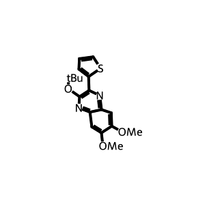 COc1cc2nc(OC(C)(C)C)c(-c3cccs3)nc2cc1OC